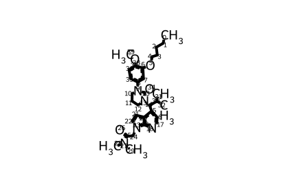 CCCCCOc1cc(N2CCCN(C(c3ccnc4c3ccn4CC(=O)N(C)C)C(C)C)C2=O)ccc1OC